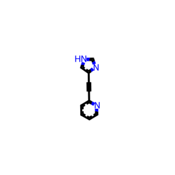 C(#Cc1c[nH]cn1)c1ccccn1